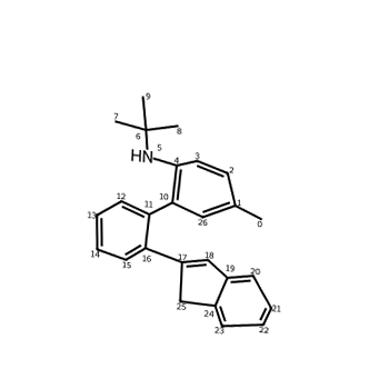 Cc1ccc(NC(C)(C)C)c(-c2ccccc2C2=Cc3ccccc3C2)c1